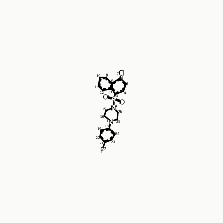 O=S(=O)(c1ccc(Cl)c2ccccc12)N1CCN(c2ccc(F)cc2)CC1